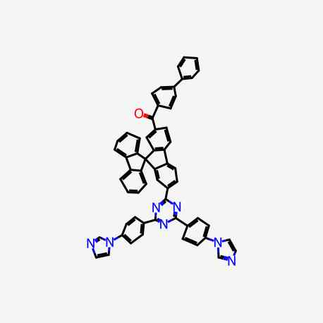 O=C(c1ccc(-c2ccccc2)cc1)c1ccc2c(c1)C1(c3ccccc3-c3ccccc31)c1cc(-c3nc(-c4ccc(-n5ccnc5)cc4)nc(-c4ccc(-n5ccnc5)cc4)n3)ccc1-2